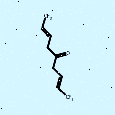 O=C(CC=CC(F)(F)F)CC=CC(F)(F)F